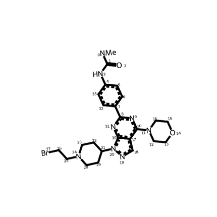 CNC(=O)Nc1ccc(-c2nc(N3CCOCC3)c3cnn(C4CCN(CCBr)CC4)c3n2)cc1